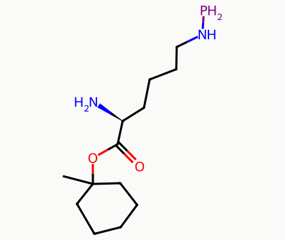 CC1(OC(=O)[C@@H](N)CCCCNP)CCCCC1